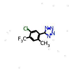 Cc1cc(C(F)(F)F)c(Cl)cc1C1N=NN=N1